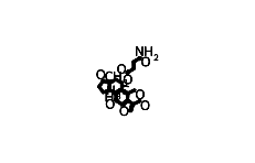 C[C@]12COC(=O)c3coc(c31)C(=O)C1=C2[C@H](OC(=O)CCC(N)=O)C[C@]2(C)C(=O)CC[C@@H]12